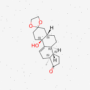 C[C@]12CC=C3[C@@H](CC[C@H]4CC5(CC[C@@]34O)OCCO5)[C@@H]1CCC2=O